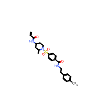 C=CC(=O)NC1CCN(S(=O)(=O)c2ccc(C(=O)NCCc3ccc(C(F)(F)F)cc3)cc2)C(C)C1